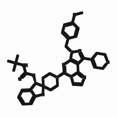 COc1ccc(Cn2nc(C3=CCOCC3)c3c2nc(N2CCC4(CC2)Oc2ccccc2[C@H]4OC(=O)NC(C)(C)C)n2ccnc32)cc1